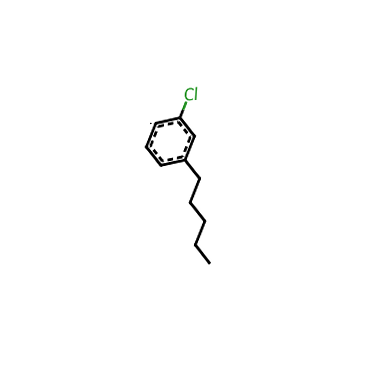 CCCCCc1cc[c]c(Cl)c1